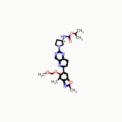 COCOc1c(-c2ccc3nc(N4CC[C@@H](NC(=O)OC(C)C)C4)ncc3n2)cc2oc(C)nc2c1C